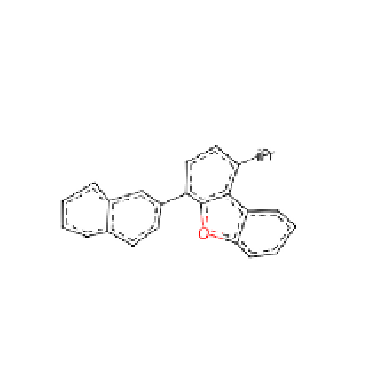 CC(C)c1ccc(-c2ccc3ccccc3c2)c2oc3ccccc3c12